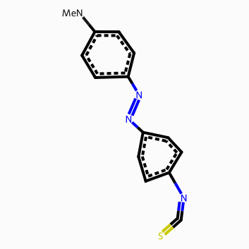 CNc1ccc(N=Nc2ccc(N=C=S)cc2)cc1